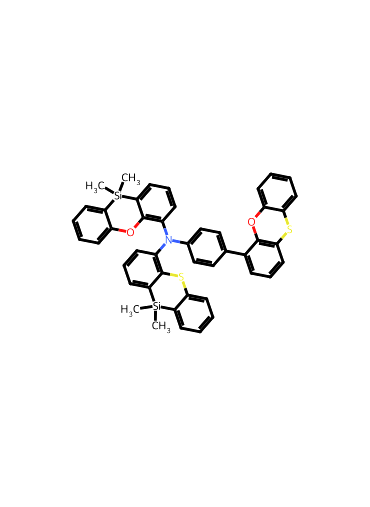 C[Si]1(C)c2ccccc2Oc2c(N(c3ccc(-c4cccc5c4Oc4ccccc4S5)cc3)c3cccc4c3Sc3ccccc3[Si]4(C)C)cccc21